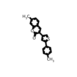 Cc1ccc(-c2cc(-c3cc4ccc(C)cc4oc3=O)cs2)cc1